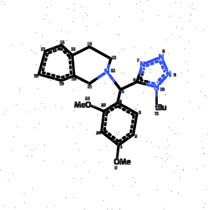 COc1ccc(C(c2nnnn2C(C)(C)C)N2CCc3ccccc3C2)c(OC)c1